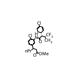 CCCC(CC(=O)OC)c1ccc(Cl)c(NC(=O)[C@H](C2C=CC(Cl)=CC2)[C@@H](C)C(F)(F)F)c1